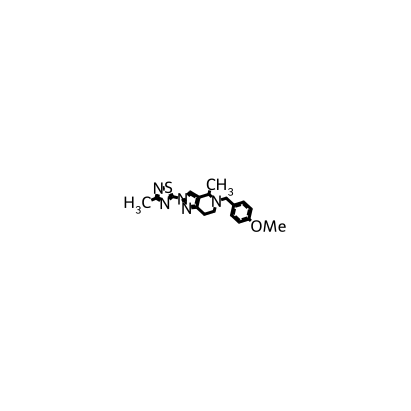 COc1ccc(CN2CCc3nn(-c4nc(C)ns4)cc3C2C)cc1